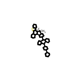 CC1(C)c2ccc(-c3c4ccccc4c(-c4ccc(-c5ccccc5)cc4)c4ccccc34)cc2-c2c1c1c3ccccc3sc1c1ccccc21